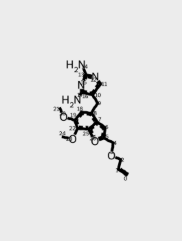 C=CCOCc1cc2c(Cc3cnc(N)nc3N)cc(OC)c(OC)c2o1